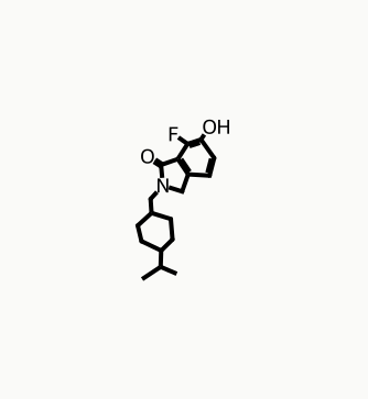 CC(C)C1CCC(CN2Cc3ccc(O)c(F)c3C2=O)CC1